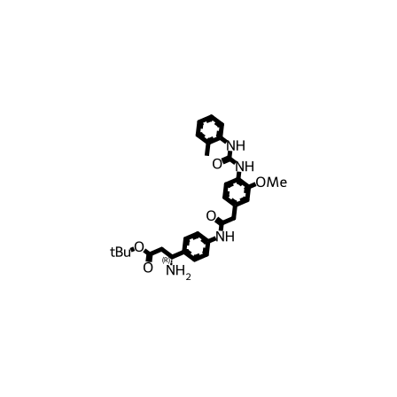 COc1cc(CC(=O)Nc2ccc([C@H](N)CC(=O)OC(C)(C)C)cc2)ccc1NC(=O)Nc1ccccc1C